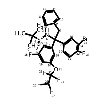 CC(C)(C)[S+]([O-])NC(Cc1ccccc1)(c1cc(F)cc(OC(F)(F)C(F)F)c1)c1ccc(F)c(Br)c1